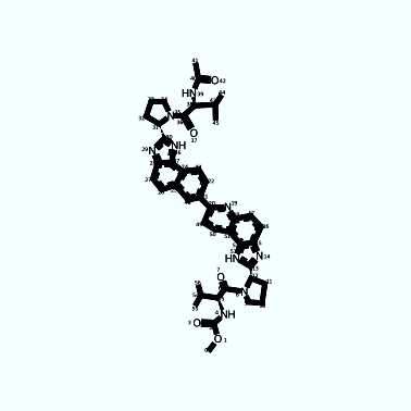 COC(=O)N[C@H](C(=O)N1CCC[C@H]1c1nc2ccc3nc(-c4ccc5c(ccc6nc([C@@H]7CCCN7C(=O)[C@@H](NC(C)=O)C(C)C)[nH]c65)c4)ccc3c2[nH]1)C(C)C